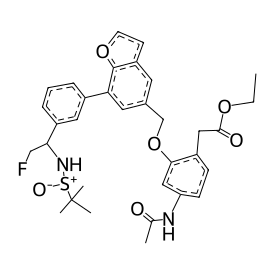 CCOC(=O)Cc1ccc(NC(C)=O)cc1OCc1cc(-c2cccc(C(CF)N[S+]([O-])C(C)(C)C)c2)c2occc2c1